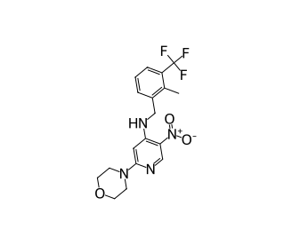 Cc1c(CNc2cc(N3CCOCC3)ncc2[N+](=O)[O-])cccc1C(F)(F)F